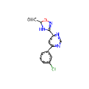 O=CC1NC(c2cc(-c3cccc(Cl)c3)ncn2)=NO1